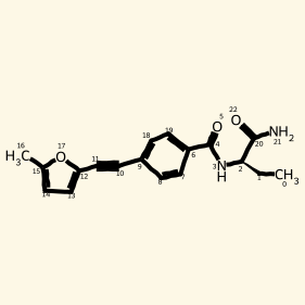 CC[C@@H](NC(=O)c1ccc(C#Cc2ccc(C)o2)cc1)C(N)=O